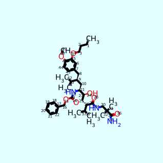 CCCCOc1cc(C[C@@H](C[C@H](NC(=O)OCc2ccccc2)[C@@H](O)C[C@H](C(=O)NCC(C)(C)C(N)=O)C(C)C)C(C)C)ccc1OC